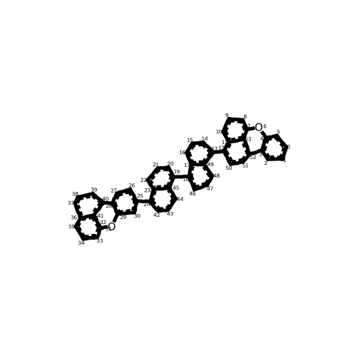 c1ccc2c(c1)Oc1cccc3c(-c4cccc5c(-c6cccc7c(-c8ccc9c(c8)Oc8cccc%10cccc-9c8%10)cccc67)cccc45)ccc-2c13